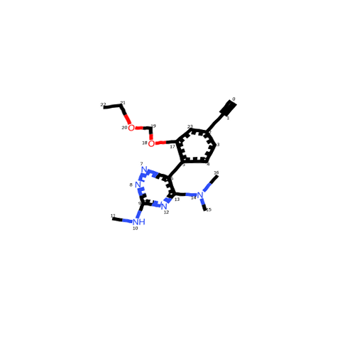 C#Cc1ccc(-c2nnc(NC)nc2N(C)C)c(OCOCC)c1